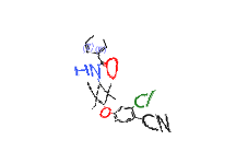 C/C=C\C(=C/C)C(=O)N[C@H]1C(C)(C)[C@H](Oc2ccc(C#N)c(Cl)c2)C1(C)C